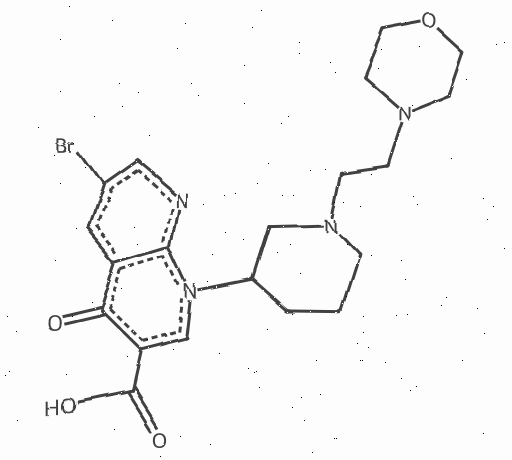 O=C(O)c1cn(C2CCCN(CCN3CCOCC3)C2)c2ncc(Br)cc2c1=O